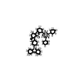 c1ccc(-c2nc(-c3ccccc3)nc(-c3cccc4c3sc3c4ccc4sc5cc(-n6c7ccccc7c7ccccc76)ccc5c43)n2)cc1